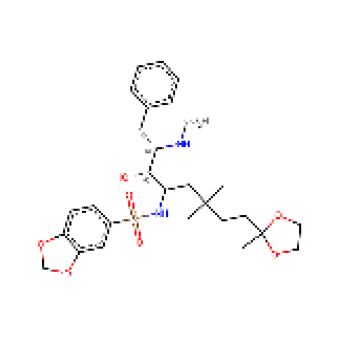 CC(C)(CCC1(C)OCCO1)CC(NS(=O)(=O)c1ccc2c(c1)OCO2)[C@H](O)[C@H](Cc1ccccc1)NC(=O)O